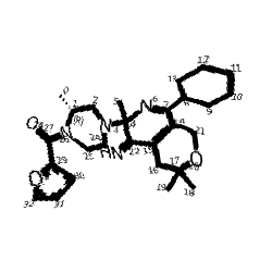 C[C@@H]1CN(C2(C)N=C(C3CCCCC3)C3=C(CC(C)(C)OC3)C2=N)CCN1C(=O)c1ccco1